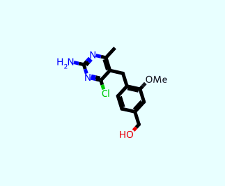 COc1cc(CO)ccc1Cc1c(C)nc(N)nc1Cl